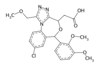 COCc1nnc2n1-c1ccc(Cl)cc1C(c1cccc(OC)c1OC)OC2CC(=O)O